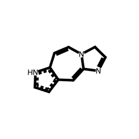 C1=CN2CC=NC2=Cc2cc[nH]c21